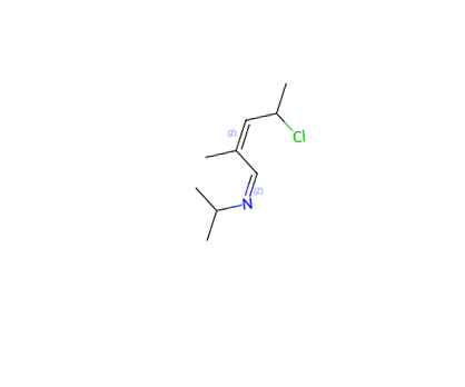 CC(/C=N\C(C)C)=C/C(C)Cl